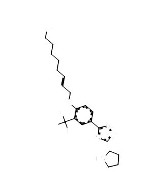 CCCCCC/C=C/COc1ccc(-c2noc([C@@H]3CCCN3)n2)cc1C(F)(F)F